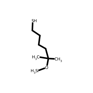 CC(C)(CCCCS)O[SiH3]